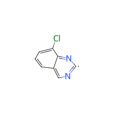 Clc1cccc2cn[c]nc12